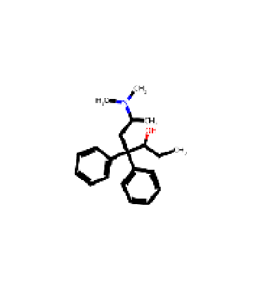 CCC(O)C(CC(C)N(C)C)(c1ccccc1)c1ccccc1